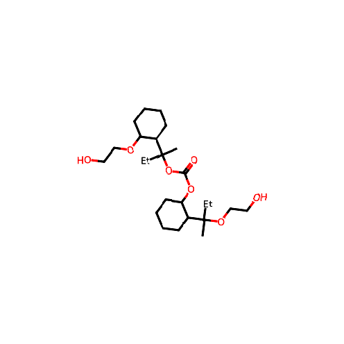 CCC(C)(OCCO)C1CCCCC1OC(=O)OC(C)(CC)C1CCCCC1OCCO